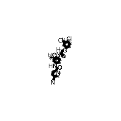 N#Cc1ccc(C(=O)NC23CCC(NC(=O)COc4ccc(Cl)c(Cl)c4)(CC2)[C@@H](O)C3)nc1